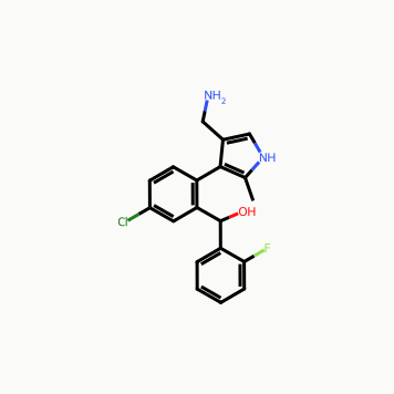 Cc1[nH]cc(CN)c1-c1ccc(Cl)cc1C(O)c1ccccc1F